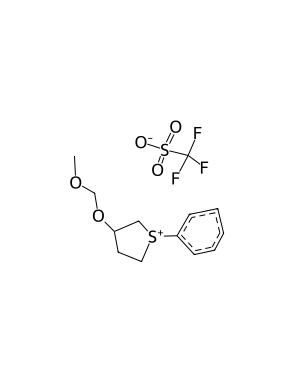 COCOC1CC[S+](c2ccccc2)C1.O=S(=O)([O-])C(F)(F)F